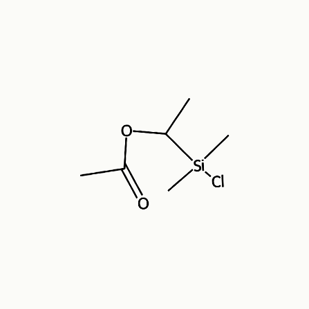 CC(=O)OC(C)[Si](C)(C)Cl